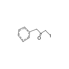 O=C(CI)Cc1ccccc1